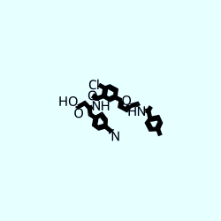 Cc1ccc(C(C)NCc2ccc(-c3ccc(Cl)c(C(=O)NC(CC(=O)O)Cc4ccc(C#N)cc4)c3)o2)cc1